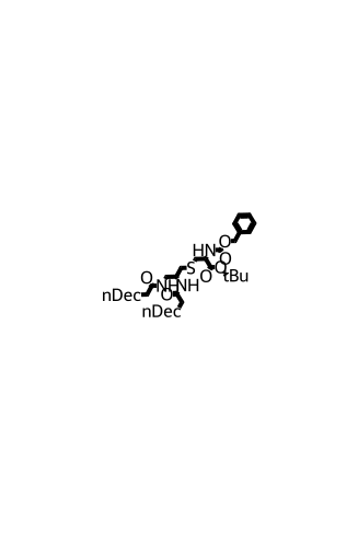 CCCCCCCCCCCC(=O)NCC(CSCC(NC(=O)OCc1ccccc1)C(=O)OC(C)(C)C)NC(=O)CCCCCCCCCCC